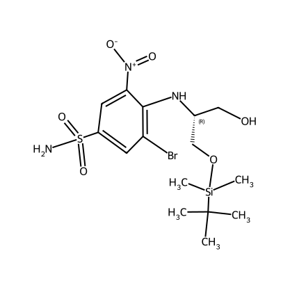 CC(C)(C)[Si](C)(C)OC[C@@H](CO)Nc1c(Br)cc(S(N)(=O)=O)cc1[N+](=O)[O-]